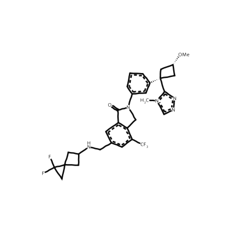 CO[C@H]1C[C@](c2cccc(N3Cc4c(cc(CNC5CC6(C5)CC6(F)F)cc4C(F)(F)F)C3=O)c2)(c2nncn2C)C1